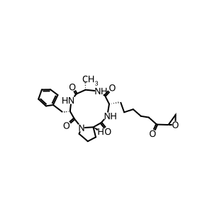 C[C@@H]1NC(=O)[C@H](CCCCCC(=O)C2CO2)NC(=O)[C@@H]2CCCN2C(=O)[C@H](Cc2ccccc2)NC1=O